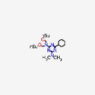 CCCCOCN(COCCCC)c1nc(C2CCCCC2)nc(N(C)C)n1